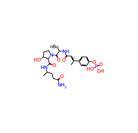 CCCCC(NC(=O)/C=C(\C)c1ccc(OP(=O)(O)O)cc1)C(=O)N1CCC(O)C1C(=O)NC(C)CCC(N)=O